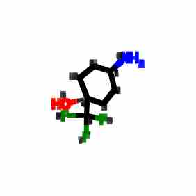 N[C@H]1CC[C@@](O)(C(F)(F)F)CC1